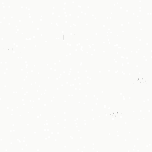 CCCCCCCCCCC1=C(C)CC(OC)=C(OC)C1